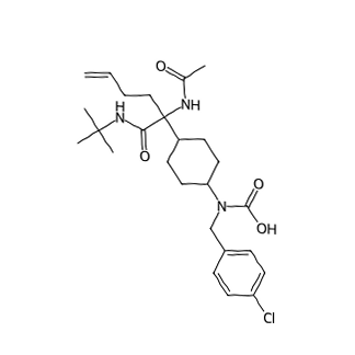 C=CCCC(NC(C)=O)(C(=O)NC(C)(C)C)C1CCC(N(Cc2ccc(Cl)cc2)C(=O)O)CC1